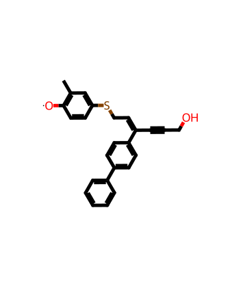 Cc1cc(SC/C=C(/C#CCO)c2ccc(-c3ccccc3)cc2)ccc1[O]